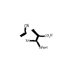 C=C(C(=O)O)C(CC)CCCCC.C=CC#N